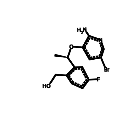 C[C@@H](Oc1cc(Br)cnc1N)c1cc(F)ccc1CO